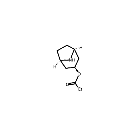 CCC(=O)O[C@H]1C[C@H]2CC[C@@H](C1)N2